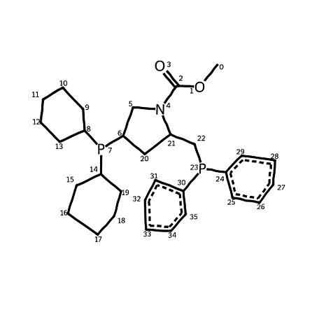 COC(=O)N1CC(P(C2CCCCC2)C2CCCCC2)CC1CP(c1ccccc1)c1ccccc1